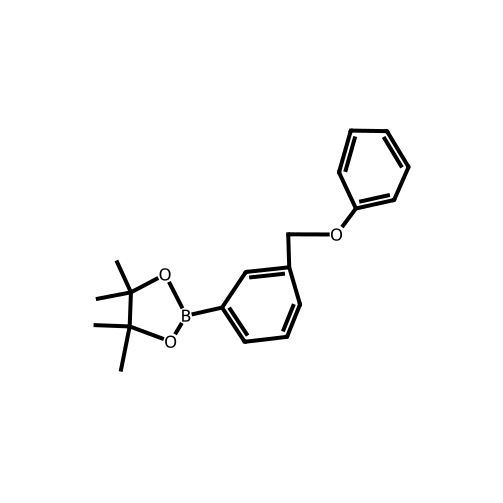 CC1(C)OB(c2cccc(COc3ccccc3)c2)OC1(C)C